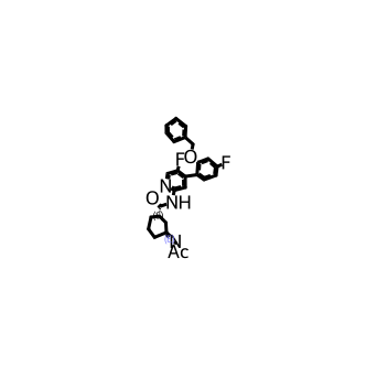 CC(=O)/N=C1\CCC[C@H](C(=O)Nc2cc(-c3ccc(F)cc3OCc3ccccc3)c(F)cn2)C1